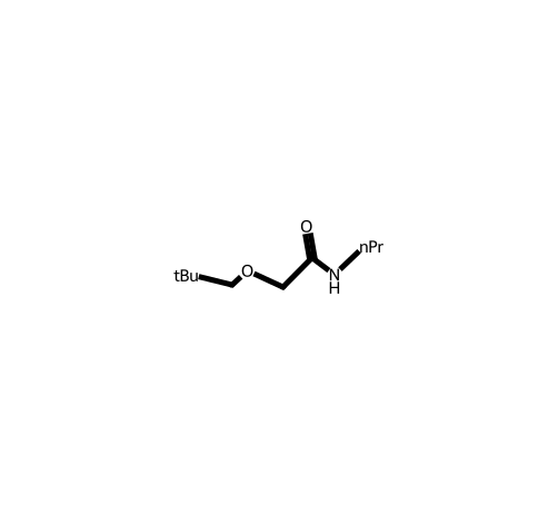 CCCNC(=O)COCC(C)(C)C